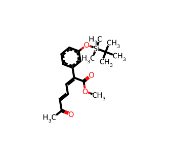 COC(=O)C(=CC=CC(C)=O)c1cccc(O[Si](C)(C)C(C)(C)C)c1